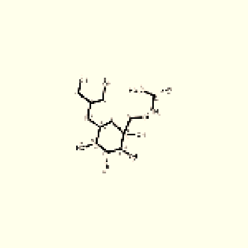 CC(C)[C@H](N)C(=O)O.OCC(CO)N[C@H]1C[C@](O)(CO)[C@@H](O)[C@H](O)[C@H]1O